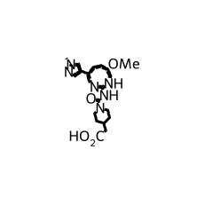 COc1ccc(-c2cnn(C)c2)cnc(NC(=O)N2CCC(CC(=O)O)CC2)[nH]c1